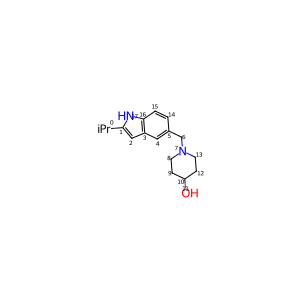 CC(C)c1cc2cc(CN3CCC(O)CC3)ccc2[nH]1